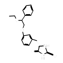 CCOC(COc1cccc(C[C@@H]2NC(=O)NC2=O)c1)c1ccccc1